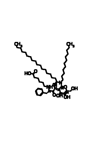 CCCCCCCCCCCCCCCCCC(=O)N(CCCCCCCCCCCC)[C@@H]1O[C@H](CO)[C@@H](O)[C@H](O)[C@@H]1NC(=O)[C@H](Cc1ccccc1)NCCCCCC(=O)O